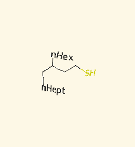 CCCCCCCCC(CCS)CCCCCC